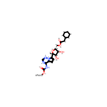 CCCCCOC(=O)Nc1ncnn2c([C@]3(C)O[C@H](COC(=O)CC4CCCCC4)[C@@H](O)[C@H]3O)ccc12